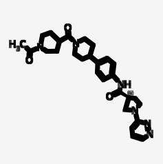 CC(=O)N1CCC(C(=O)N2CCC(c3ccc(NC(=O)[C@H]4CCN(c5cccnn5)C4)cc3)CC2)CC1